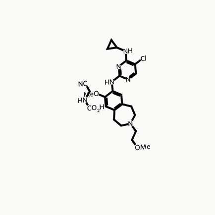 COCCN1CCc2cc(Nc3ncc(Cl)c(NC4CC4)n3)c(OC)cc2CC1.N#CCNC(=O)O